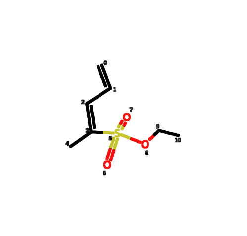 C=CC=C(C)S(=O)(=O)OCC